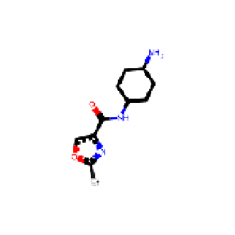 CCc1nc(C(=O)NC2CCC(N)CC2)co1